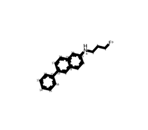 FCCCNc1ccc2cc(-c3ccccc3)ccc2c1